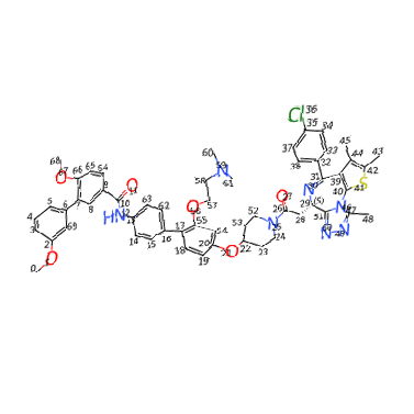 COc1cccc(-c2cc(C(=O)Nc3ccc(-c4ccc(OC5CCN(C(=O)C[C@@H]6N=C(c7ccc(Cl)cc7)c7c(sc(C)c7C)-n7c(C)nnc76)CC5)cc4OCCN(C)C)cc3)ccc2OC)c1